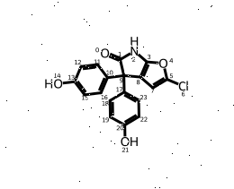 O=C1Nc2oc(Cl)cc2C1(c1ccc(O)cc1)c1ccc(O)cc1